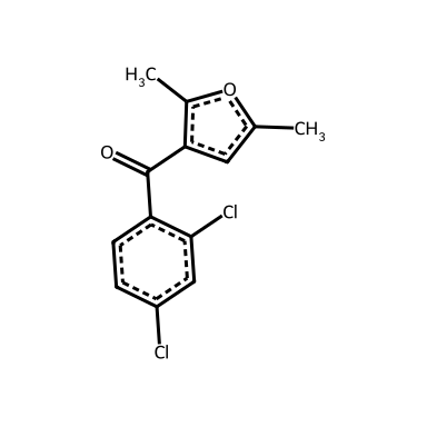 Cc1cc(C(=O)c2ccc(Cl)cc2Cl)c(C)o1